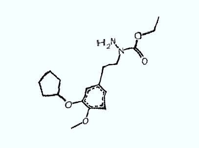 CCOC(=O)N(N)CCc1ccc(OC)c(OC2CCCC2)c1